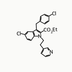 CCOC(=O)c1c(Cc2ccc(Cl)cc2)c2cc(Cl)ccc2n1CCc1cccnc1